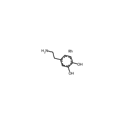 NCCc1ccc(O)c(O)c1.[Rh]